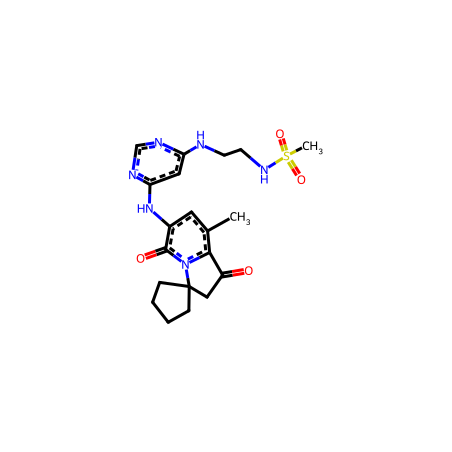 Cc1cc(Nc2cc(NCCNS(C)(=O)=O)ncn2)c(=O)n2c1C(=O)CC21CCCC1